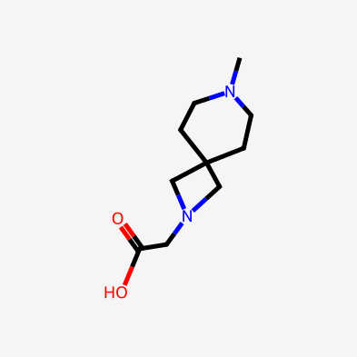 CN1CCC2(CC1)CN(CC(=O)O)C2